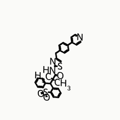 CC(C)(C(=O)Nc1nc(Cc2ccc(-c3ccncc3)cc2)cs1)C1c2ccccc2S(=O)(=O)c2ccccc21